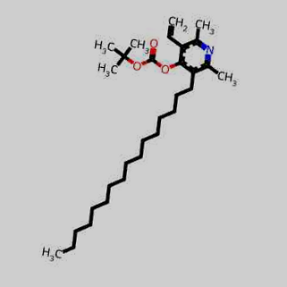 C=Cc1c(C)nc(C)c(CCCCCCCCCCCCCCCC)c1OC(=O)OC(C)(C)C